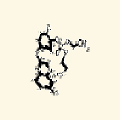 CCCSP(=O)(OCC)Oc1cc(Oc2cnc3cc(Cl)ccc3n2)ccc1Cl